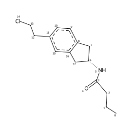 CCCC(=O)N[C@H]1Cc2ccc(CCCl)cc2C1